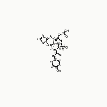 Cn1nnnc1SC1=C(OC(=O)O)N2C(=O)[C@@H]3[C@H]2C1CCN3C(=O)Nc1ccc(O)cc1